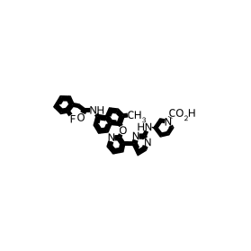 Cc1ccc2c(NC(=O)Cc3ccccc3F)cccc2c1Oc1ncccc1-c1ccnc(N[C@H]2CCCN(C(=O)O)C2)n1